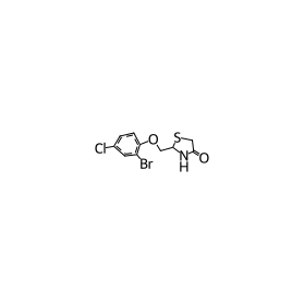 O=C1CSC(COc2ccc(Cl)cc2Br)N1